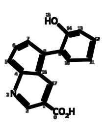 O=C(O)c1cnc2cccc(-c3ccccc3O)c2c1